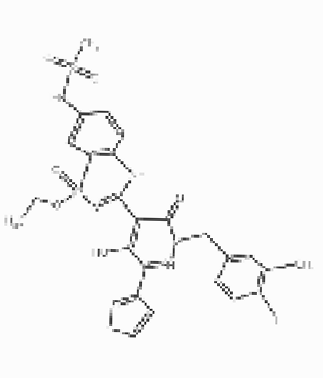 CCOP1(=O)N=C(c2c(O)c(-c3ccsc3)nn(Cc3ccc(F)c(C)c3)c2=O)Nc2ccc(NS(C)(=O)=O)cc21